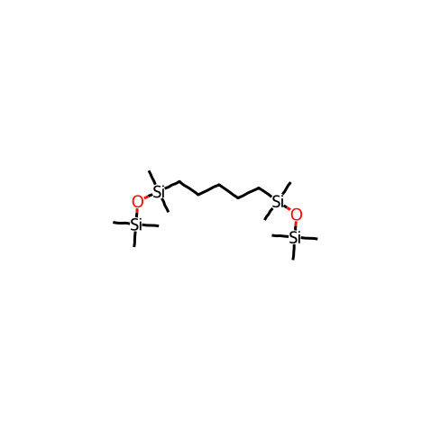 C[Si](C)(C)O[Si](C)(C)CCCCC[Si](C)(C)O[Si](C)(C)C